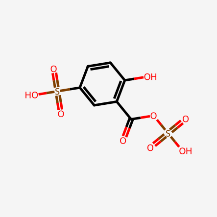 O=C(OS(=O)(=O)O)c1cc(S(=O)(=O)O)ccc1O